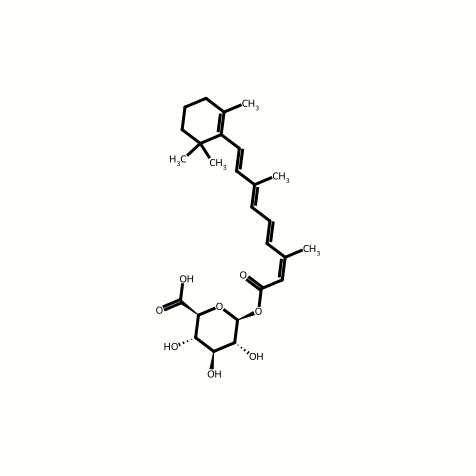 CC(=CC(=O)O[C@@H]1O[C@H](C(=O)O)[C@@H](O)[C@H](O)[C@H]1O)/C=C/C=C(C)/C=C/C1=C(C)CCCC1(C)C